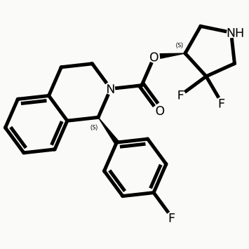 O=C(O[C@H]1CNCC1(F)F)N1CCc2ccccc2[C@@H]1c1ccc(F)cc1